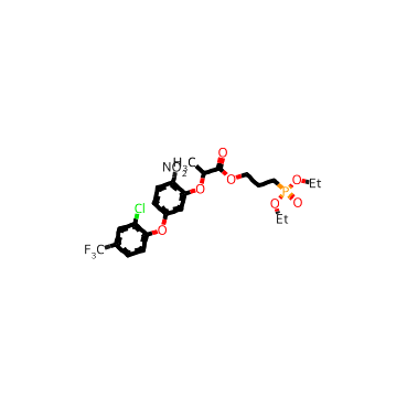 CCOP(=O)(CCCOC(=O)C(C)Oc1cc(Oc2ccc(C(F)(F)F)cc2Cl)ccc1[N+](=O)[O-])OCC